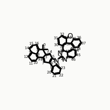 CC1(C)c2cc3c(cc2-c2cccc4cccc1c24)c1ccccc1n3-c1nc(-c2cccc3oc4ccccc4c23)c2ccccc2n1